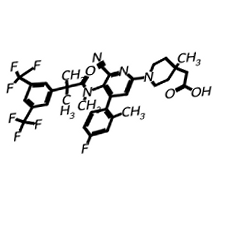 Cc1cc(F)ccc1-c1cc(N2CCC(C)(CC(=O)O)CC2)nc(C#N)c1N(C)C(=O)C(C)(C)c1cc(C(F)(F)F)cc(C(F)(F)F)c1